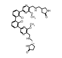 COc1nc(-c2cccc(-c3cccc(-c4cnc(CNC[C@@H]5CCC(=O)N5)c(OC)n4)c3Cl)c2Cl)cnc1CNCC1CNC(=O)C1